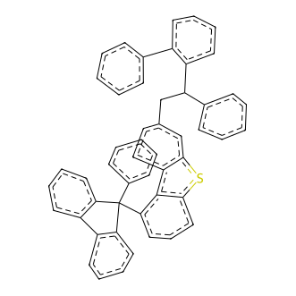 c1ccc(-c2ccccc2C(Cc2ccc3c(c2)sc2cccc(C4(c5ccccc5)c5ccccc5-c5ccccc54)c23)c2ccccc2)cc1